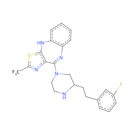 Fc1cccc(CCC2CN(C3=Nc4ccccc4Nc4sc(C(F)(F)F)nc43)CCN2)c1